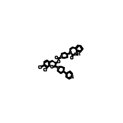 O=C(O[C@H](Cc1ccc(Cl)c(Cl)c1)C(=O)N1CCC(c2ccncc2)CC1)N1CCC(N2CCc3ccccc3NC2=O)CC1